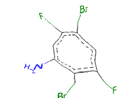 Nc1c(F)c(Br)cc(F)c1Br